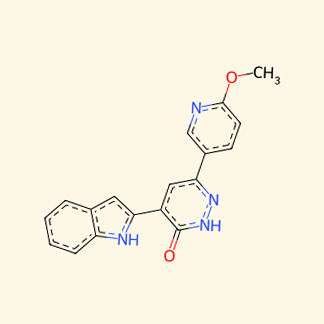 COc1ccc(-c2cc(-c3cc4ccccc4[nH]3)c(=O)[nH]n2)cn1